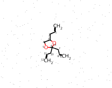 C=C[CH]C1COC(CC=C)(CC=C)O1